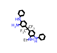 CCNc1cc(C(c2ccc(Nc3ccccc3)c(N)c2)(C(F)(F)F)C(F)(F)F)ccc1Nc1ccccc1